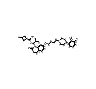 CC1CC(C(=O)OC(C(C)C)N2C(=O)CCc3ccc(OCCCCN4CCN(c5cccc(Cl)c5Cl)CC4)cc32)C1